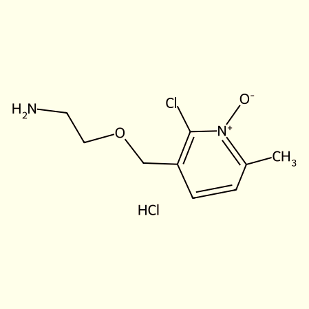 Cc1ccc(COCCN)c(Cl)[n+]1[O-].Cl